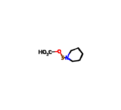 O=C(O)OSN1CCCCC1